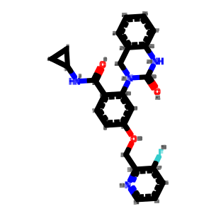 O=C(NC1CC1)c1ccc(OCc2ncccc2F)cc1N1Cc2ccccc2NC1=O